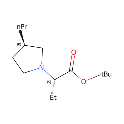 CCC[C@@H]1CCN([C@@H](CC)C(=O)OC(C)(C)C)C1